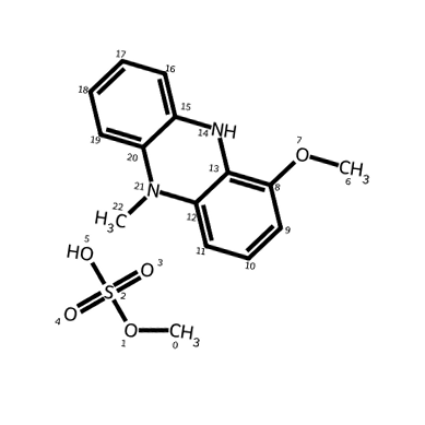 COS(=O)(=O)O.COc1cccc2c1Nc1ccccc1N2C